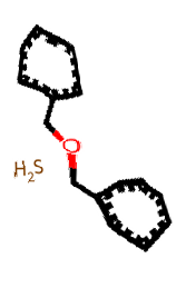 S.c1ccc(COCc2ccccc2)cc1